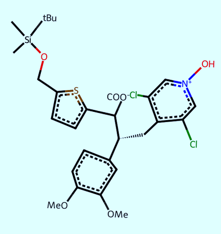 COc1ccc([C@@H](Cc2c(Cl)c[n+](O)cc2Cl)C(C(=O)[O-])c2ccc(CO[Si](C)(C)C(C)(C)C)s2)cc1OC